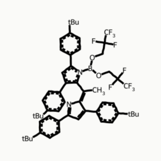 C/C(=C1/N=C(c2ccc(C(C)(C)C)cc2)C=C1c1ccc(C(C)(C)C)cc1)c1c(-c2ccc(C(C)(C)C)cc2)cc(-c2ccc(C(C)(C)C)cc2)n1B(OCC(F)(F)C(F)(F)F)OCC(F)(F)C(F)(F)F